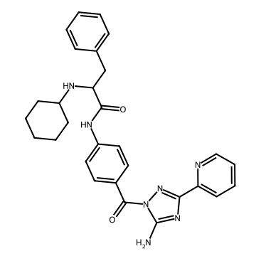 Nc1nc(-c2ccccn2)nn1C(=O)c1ccc(NC(=O)C(Cc2ccccc2)NC2CCCCC2)cc1